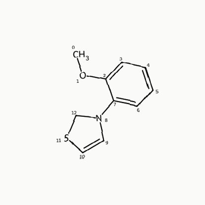 COc1ccccc1N1C=CSC1